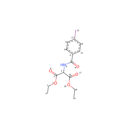 CCOC(=O)C(NC(=O)c1ccc(I)cc1)C(=O)OCC